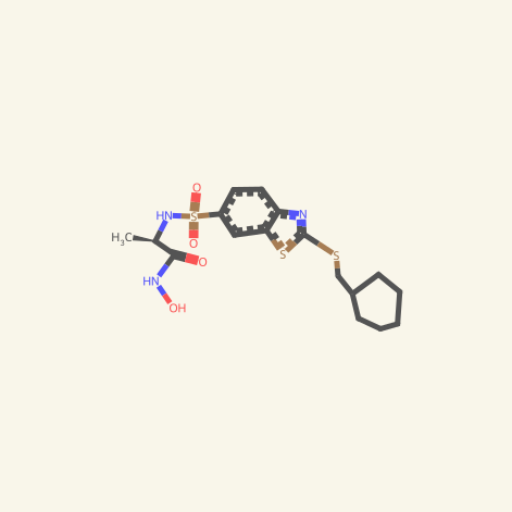 C[C@@H](NS(=O)(=O)c1ccc2nc(SCC3CCCCC3)sc2c1)C(=O)NO